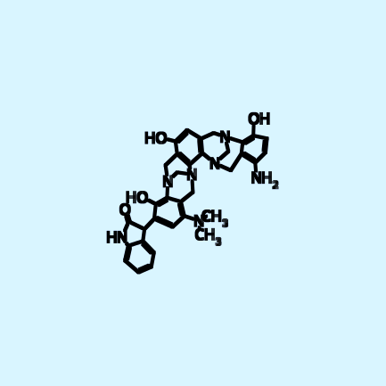 CN(C)c1cc(C2C(=O)Nc3ccccc32)c(O)c2c1CN1CN2Cc2c(O)cc3c(c21)N1Cc2c(N)ccc(O)c2N(C3)C1